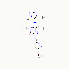 CCCn1c(=O)c(NCc2ccc(S(=O)(=O)CC)cn2)nc2c(C)nc(-c3c(C)ncnc3C3CC3)nc21